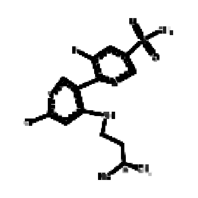 C[C@@H](O)CCNc1cc(Cl)ncc1-c1ncc(S(C)(=O)=O)cc1F